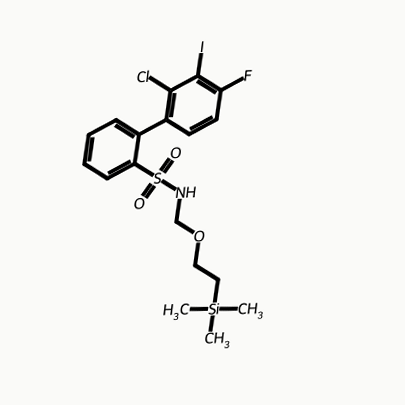 C[Si](C)(C)CCOCNS(=O)(=O)c1ccccc1-c1ccc(F)c(I)c1Cl